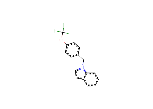 FC(F)(F)Oc1ccc(Cn2ccc3ccccc32)cc1